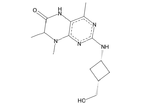 Cc1nc(N[C@H]2C[C@@H](CO)C2)nc2c1NC(=O)C(C)N2C